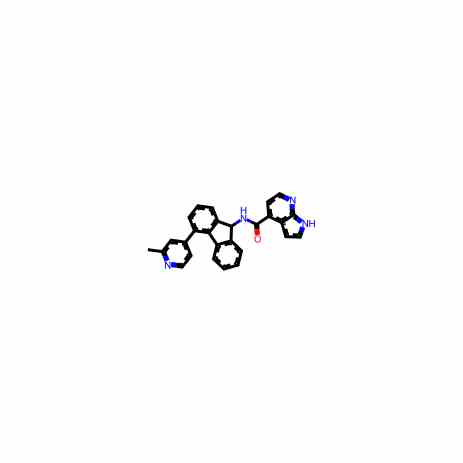 Cc1cc(-c2cccc3c2-c2ccccc2C3NC(=O)c2ccnc3[nH]ccc23)ccn1